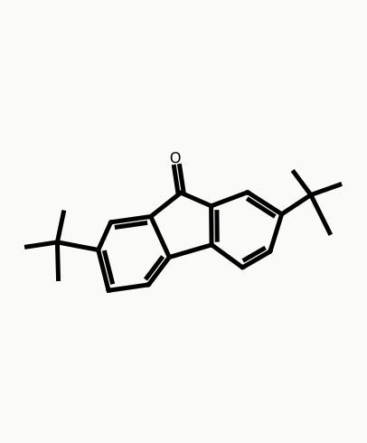 CC(C)(C)c1ccc2c(c1)C(=O)c1cc(C(C)(C)C)ccc1-2